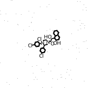 O=C(C(O)c1c(O)ccc2ccccc12)N1CCN(c2ccc(Cl)cc2Cl)C(c2ccc(Cl)cc2)C1